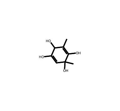 CC1=C(O)C(C)(O)C=C(O)C1O